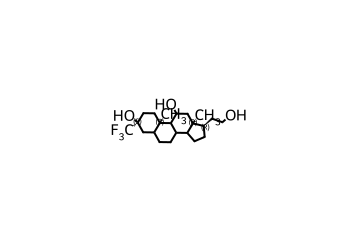 C[C@]12CC[C@@](O)(C(F)(F)F)CC1CCC1C2C(O)C[C@@]2(C)C1CC[C@@H]2CCO